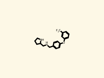 FC(F)(F)c1cccc(Oc2ccc(CNCC3CCCN3)cc2)c1